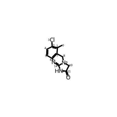 Cc1c(Cl)ccc2c1CN1CC(=O)NC1=N2